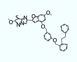 COc1cc(OCc2cccc(OCc3ccccc3CCc3ccccc3)c2)c2cc(-c3cn4nc(OC)sc4n3)oc2c1